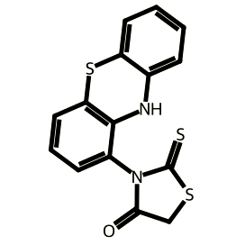 O=C1CSC(=S)N1c1cccc2c1Nc1ccccc1S2